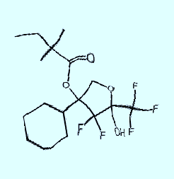 CCC(C)(C)C(=O)OC1(C2CCCCC2)COC(O)(C(F)(F)F)C1(F)F